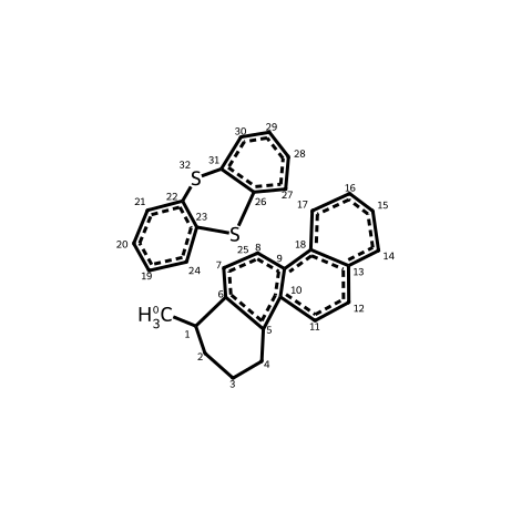 CC1CCCc2c1ccc1c2ccc2ccccc21.c1ccc2c(c1)Sc1ccccc1S2